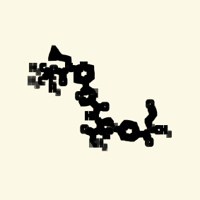 CN(CC=O)C(=O)c1ccc(-n2cc(NC(=O)c3coc(-c4ccnc(N(CC5CC5)C(=O)OC(C)(C)C)c4)n3)c(C(N)=O)n2)cc1